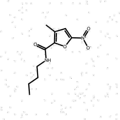 CCCCNC(=O)c1oc([N+](=O)[O-])cc1C